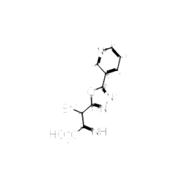 CCC(C(=N)C(=O)O)c1nnc(-c2cccnc2)o1